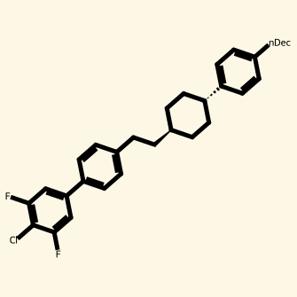 CCCCCCCCCCc1ccc([C@H]2CC[C@H](CCc3ccc(-c4cc(F)c(Cl)c(F)c4)cc3)CC2)cc1